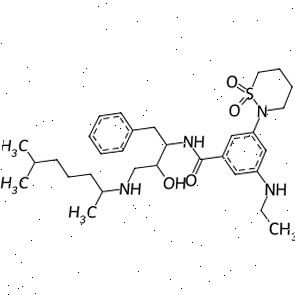 CCNc1cc(C(=O)NC(Cc2ccccc2)C(O)CNC(C)CCCC(C)C)cc(N2CCCCS2(=O)=O)c1